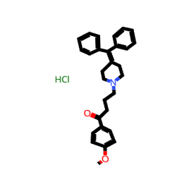 COc1ccc(C(=O)CCCN2CCC(=C(c3ccccc3)c3ccccc3)CC2)cc1.Cl